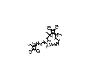 CNCCNc1c(C(C)(C)CCN(C)CCNc2c(C)c(=O)c2=O)c(=O)c1=O